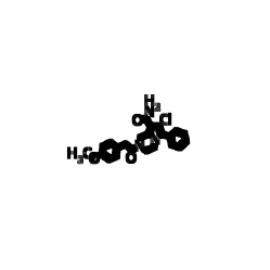 COc1ccc(CC(=O)N2CCn3c(c(C(N)=O)c(Cl)c3-c3ccccc3)C2)cc1